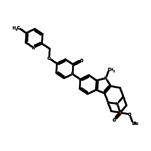 Cc1ccc(COc2ccn(-c3ccc4c5c(n(C)c4c3)CC3CCCC5N3C(=O)OC(C)(C)C)c(=O)c2)nc1